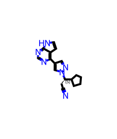 N#CC[C@@H](C1CCCC1)n1cc(-c2ncnc3[nH]ccc23)cn1